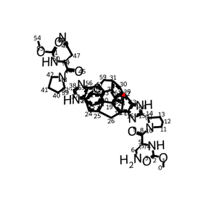 COC(=O)N[C@@H](CN)C(=O)N1CCC[C@H]1c1nc2cc(-c3cc4ccc3CCc3ccc(c(-c5ccc6[nH]c([C@@H]7CCCN7C(=O)[C@H](CC#N)NC(=O)OC)nc6c5)c3)CC4)ccc2[nH]1